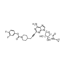 Nc1nc(C#CCC2CCN(C(=O)Oc3ccc(F)c(F)c3)CC2)nc2c1ncn2[C@@H]1O[C@H](C(=O)NC2CC2)[C@@H](O)[C@@H]1O